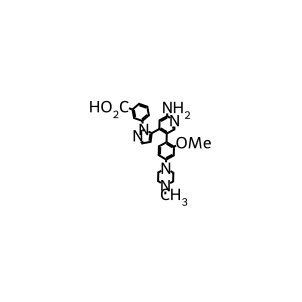 COc1cc(N2CCN(C)CC2)ccc1-c1cnc(N)cc1-c1ccnn1-c1cccc(C(=O)O)c1